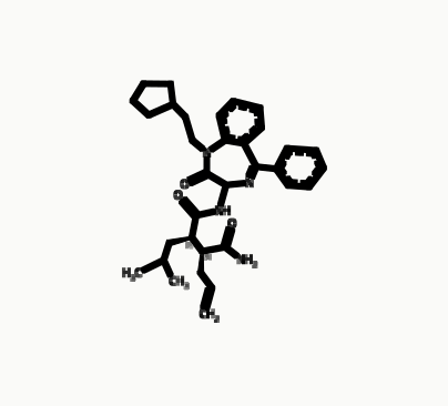 C=CC[C@H](C(N)=O)[C@@H](CC(C)C)C(=O)NC1N=C(c2ccccc2)c2ccccc2N(CCC2CCCC2)C1=O